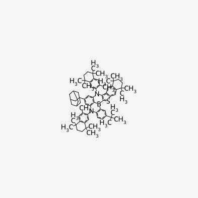 Cc1cc2c(cc1N1c3ccc(C(C)(C)C)cc3B3c4sc5cc6c(cc5c4N(c4cc5c(cc4C)C(C)(C)CCC5(C)C)c4cc(C57CC8CC(CC(C8)C5)C7)cc1c43)C(C)(C)CCC6(C)C)C(C)(C)CCC2(C)C